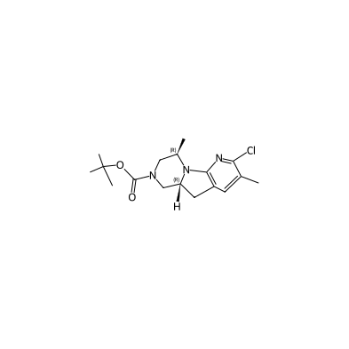 Cc1cc2c(nc1Cl)N1[C@H](C2)CN(C(=O)OC(C)(C)C)C[C@H]1C